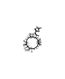 C/C(=C\c1csc(C)n1)[C@@H]1C[C@@H]2O[C@@H]2CCC[C@H](C)C(O)[C@@H](C)C(=O)[C@@H](C)CCC(=O)N1